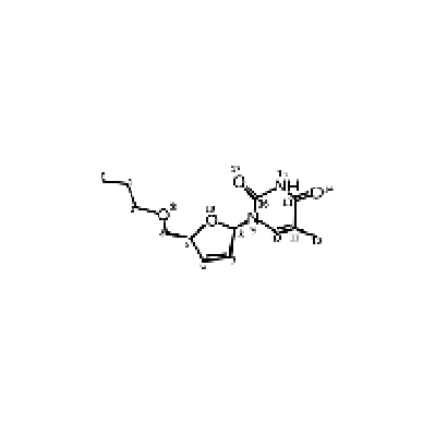 CCCOC[C@@H]1C=C[C@H](n2cc(C)c(=O)[nH]c2=O)O1